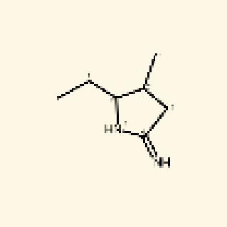 CCC1NC(=N)CC1C